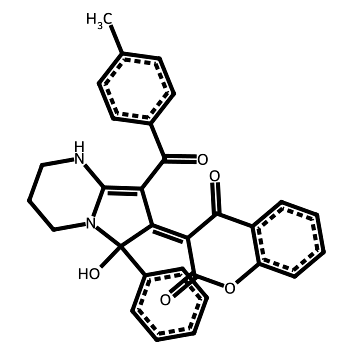 Cc1ccc(C(=O)C2=C3NCCCN3C(O)(c3ccccc3)C2=C2C(=O)Oc3ccccc3C2=O)cc1